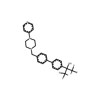 OC(c1ccc(-c2ccc(CN3CCN(c4ccncc4)CC3)cc2)cc1)(C(F)(F)F)C(F)(F)F